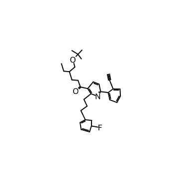 C#Cc1ccccc1-c1ccc(C(=O)CCC(CC)COC(C)(C)C)c(CCCC2=CC=CC(F)C2)n1